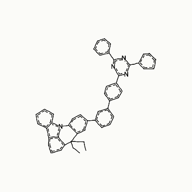 CCC1(CC)c2cc(-c3cccc(-c4ccc(-c5nc(-c6ccccc6)nc(-c6ccccc6)n5)cc4)c3)ccc2-n2c3ccccc3c3cccc1c32